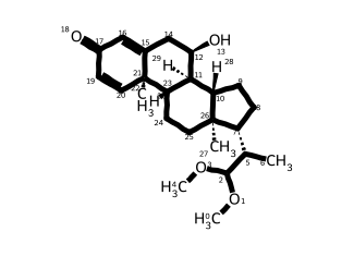 COC(OC)C(C)[C@H]1CC[C@H]2[C@@H]3[C@H](O)CC4=CC(=O)C=C[C@]4(C)[C@H]3CC[C@]12C